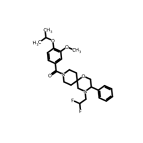 COc1cc(C(=O)N2CCC3(CC2)CN(CC(F)F)C(c2ccccc2)CO3)ccc1OC(C)C